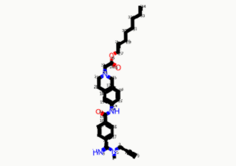 C#CCN(C)C(=N)c1ccc(C(=O)Nc2ccc3c(c2)CCN(CC(=O)OCCCCCCCC)C3)cc1